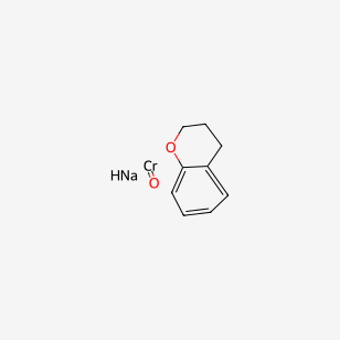 [NaH].[O]=[Cr].c1ccc2c(c1)CCCO2